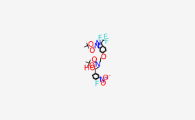 CC(C)(C)OC(=O)N(CCOc1ccc2c(C(F)(F)F)nn(C(=O)OC(C)(C)C)c2c1)C[C@H](O)c1ccc(F)c([N+](=O)[O-])c1